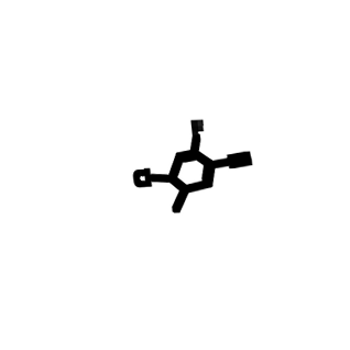 C#CC1=CC(C)C(Cl)C=C1F